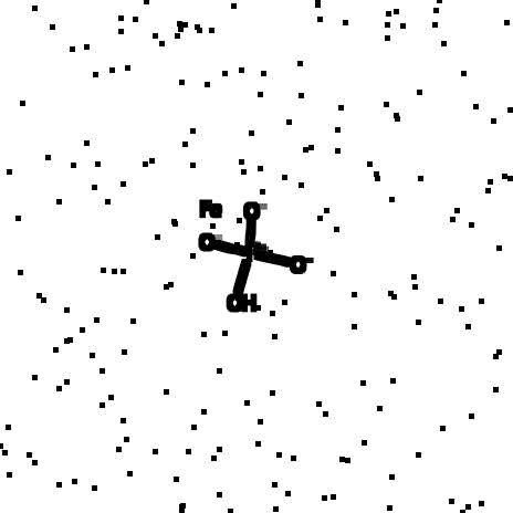 [Fe].[O-][I+3]([O-])([O-])O